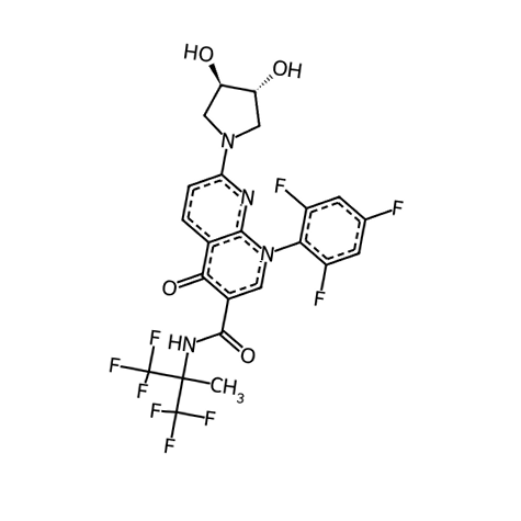 CC(NC(=O)c1cn(-c2c(F)cc(F)cc2F)c2nc(N3C[C@@H](O)[C@H](O)C3)ccc2c1=O)(C(F)(F)F)C(F)(F)F